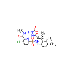 CNC(=O)c1nc(S(=O)(=O)N[C@H](c2n[nH]c(=O)o2)[C@H](C)c2c(F)ccc(C)c2C)ccc1Cl